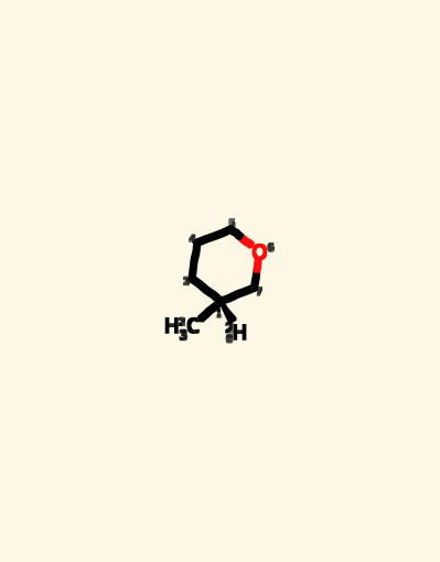 [2H][C@@]1(C)CCCOC1